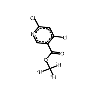 [2H]C([2H])([2H])OC(=O)c1cnc(Cl)cc1Cl